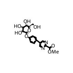 COC(=O)c1ncc(-c2ccc(O[C@@H]3O[C@H](CO)[C@@H](O)[C@H](O)[C@@H]3O)cc2)cn1